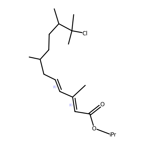 CC(/C=C/CC(C)CCC(C)C(C)(C)Cl)=C\C(=O)OC(C)C